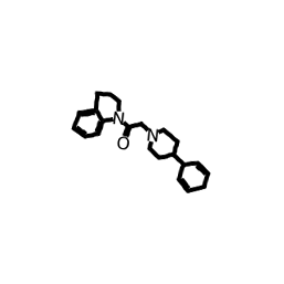 O=C(CN1CCC(C2C=CCC=C2)CC1)N1CCCc2ccccc21